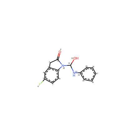 O=C1Cc2cc(F)ccc2N1C(O)Nc1ccccc1